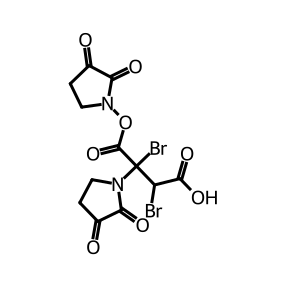 O=C1CCN(OC(=O)C(Br)(C(Br)C(=O)O)N2CCC(=O)C2=O)C1=O